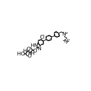 CN(CC[N+](C)(C)C)Cc1ccc(-c2ccc(-c3cc4nc(O[C@@H]5CO[C@H]6[C@@H]5OC[C@H]6O)[nH]c4cc3Cl)cc2)cc1